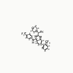 CC(=O)C(c1nc(Nc2ccc(C(F)(F)F)cc2)c2ccc(-c3ncccc3C(F)(F)F)cc2n1)N1CCOCC1